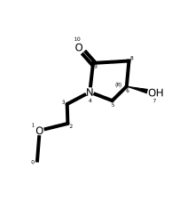 COCCN1C[C@H](O)CC1=O